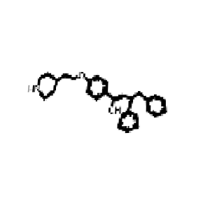 CC(=CC(Cc1ccccc1)c1ccccc1)c1ccc(OCCC2CCNCC2)cc1